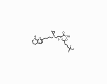 O=C(CCCC(F)(F)F)NC(CCN(CCCCc1ccc2c(n1)NCCC2)C1CC1)C(=O)O